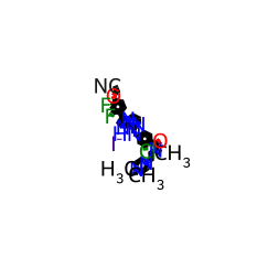 CN(CCN1CC[N+](C)(C)CC1)C(=O)c1ccc(Nc2nccn3c(-c4ccc(OCC#N)c(F)c4F)cnc23)cc1Cl.[I-]